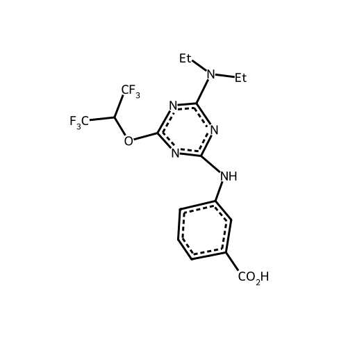 CCN(CC)c1nc(Nc2cccc(C(=O)O)c2)nc(OC(C(F)(F)F)C(F)(F)F)n1